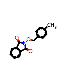 Cc1ccc(CON2C(=O)c3ccccc3C2=O)cc1